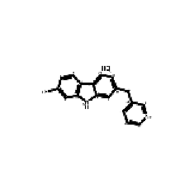 Cl.Fc1ccc2c(c1)[nH]c1cc(Cc3cccnc3)ccc12